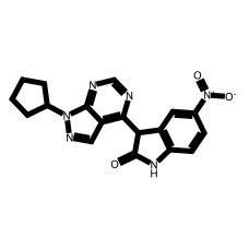 O=C1Nc2ccc([N+](=O)[O-])cc2C1c1ncnc2c1cnn2C1CCCC1